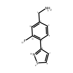 NCc1ccc(-c2ccsn2)c(F)c1